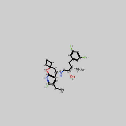 CC(=O)N[C@@H](Cc1cc(F)cc(F)c1)[C@H](O)CN[C@H]1CC2(CCC2)Oc2nc(F)c(CC(C)C)cc21